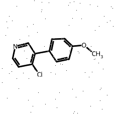 COc1ccc(-c2cnccc2Cl)cc1